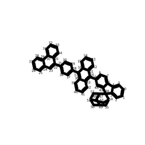 c1ccc2c(c1)-c1ccc(-c3c4ccccc4c(-c4ccc(-c5cc6ccccc6c6ccccc56)cc4)c4ccccc34)cc1C21C2CC3CC(C2)CC1C3